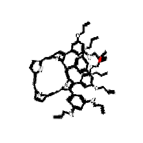 C=CCOc1cc(OCC=C)cc(C2=CC3=CC4=NC(=CC5=NC(=CC6=NC(=C(c7cc(OCC=C)cc(OCC=C)c7)C2=N3)C(c2cc(OCC=C)cc(OCC=C)c2)=C6c2cc(OCC=C)cc(OCC=C)c2)C=C5)C=C4)c1